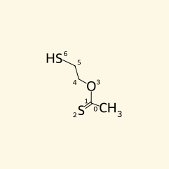 CC(=S)OCCS